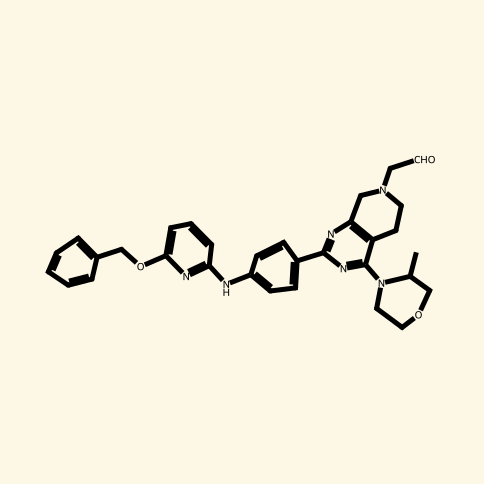 CC1COCCN1c1nc(-c2ccc(Nc3cccc(OCc4ccccc4)n3)cc2)nc2c1CCN(CC=O)C2